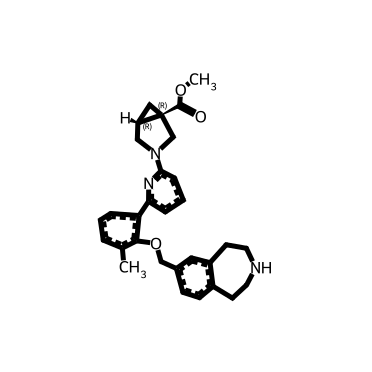 COC(=O)[C@]12C[C@H]1CN(c1cccc(-c3cccc(C)c3OCc3ccc4c(c3)CCNCC4)n1)C2